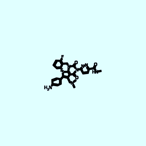 CNC(=O)c1ccc(-n2c(=O)c3c(CN(C)C)c(-c4ccc(N)cc4)sc3n(Cc3c(F)cccc3F)c2=O)nn1